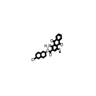 CSc1cc(C(=O)OC2CCC3CC(Cl)CCC3C2)c(N)c2c1C(=O)c1ccccc1C2=O